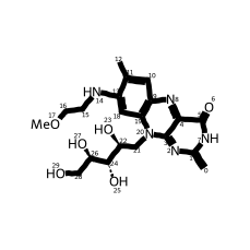 C=c1nc2c(c(=O)[nH]1)=Nc1cc(C)c(NCCOC)cc1N2C[C@H](O)[C@H](O)[C@H](O)CO